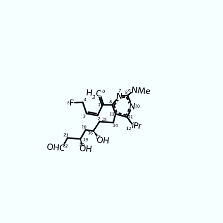 C=C(/C=C\CF)c1nc(NC)nc(C(C)C)c1CC[C@@H](O)C[C@@H](O)CC=O